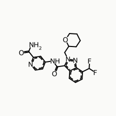 NC(=O)c1cc(NC(=O)c2c3cccc(C(F)F)c3nn2CC2CCCCO2)ccn1